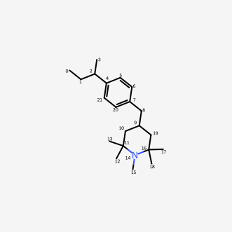 CCC(C)c1ccc(CC2CC(C)(C)N(C)C(C)(C)C2)cc1